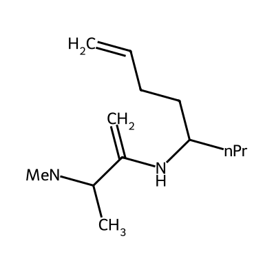 C=CCCC(CCC)NC(=C)C(C)NC